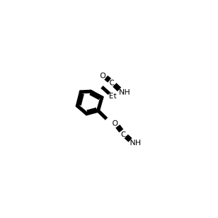 CCC.Cc1ccccc1.N=C=O.N=C=O